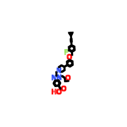 O=C(O)c1ccc2nc(CN3CCC(c4cccc(OCc5ccc(C#CC6CC6)cc5F)c4)CC3)n(CC3CCO3)c2c1